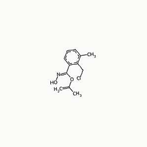 C=C(C)OC(=NO)c1cccc(C)c1CCl